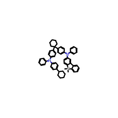 C[Si]1(C)c2ccccc2-c2cc(N(c3ccccc3)c3ccc(C4(c5ccc(N(c6ccccc6)c6ccc(C7CCCCC7)cc6)cc5)CCCCC4)cc3)ccc21